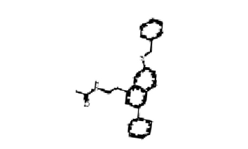 CC(=O)NCCc1cc(-c2ccccc2)cc2ccc(SCc3ccccc3)cc12